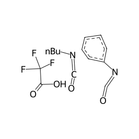 CCCCN=C=O.O=C(O)C(F)(F)F.O=C=Nc1ccccc1